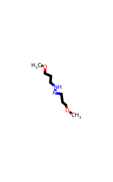 COCCC[N]NCCCOC